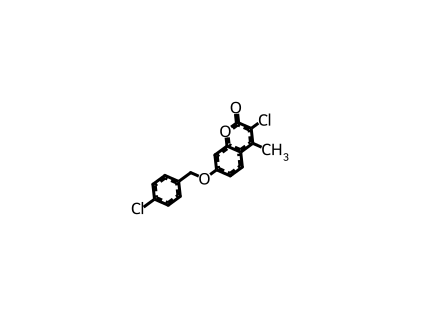 Cc1c(Cl)c(=O)oc2cc(OCc3ccc(Cl)cc3)ccc12